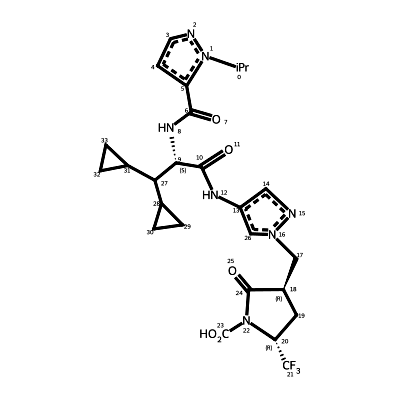 CC(C)n1nccc1C(=O)N[C@H](C(=O)Nc1cnn(C[C@H]2C[C@H](C(F)(F)F)N(C(=O)O)C2=O)c1)C(C1CC1)C1CC1